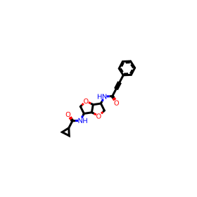 O=C(C#Cc1ccccc1)NC1COC2C(NC(=O)C3CC3)COC12